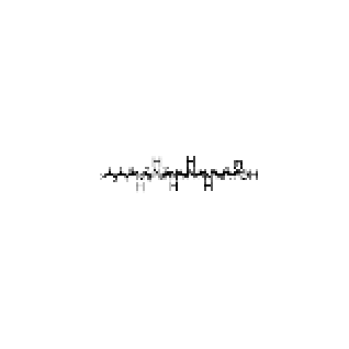 CCCCCCNCCNCCNCCNCCNCCCCC(=O)O